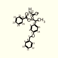 CC(c1ccc(OCc2ccccc2)cc1)N(OC(=O)c1ccccc1)C(N)=O